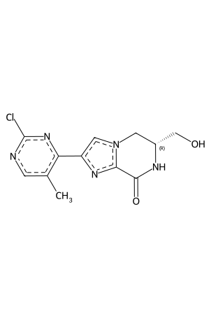 Cc1cnc(Cl)nc1-c1cn2c(n1)C(=O)N[C@@H](CO)C2